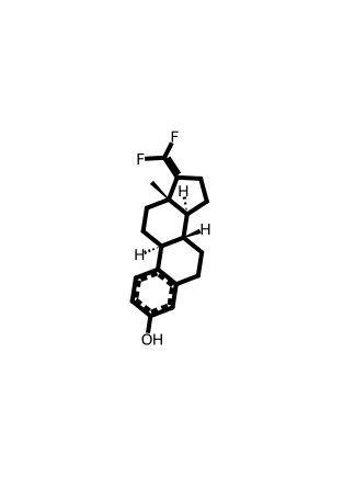 C[C@]12CC[C@@H]3c4ccc(O)cc4CC[C@H]3[C@@H]1CCC2=C(F)F